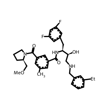 CCc1cccc(CNC[C@H](O)[C@H](Cc2cc(F)cc(F)c2)NC(=O)c2cc(C)cc(C(=O)N3CCC[C@@H]3COC)c2)c1